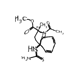 COC(=O)[C@@](C)(CC1(NC(N)=S)C=CC=CC1)NC(C)=O